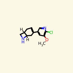 COc1cc(C2=CC[C@H]3CN[C@H]3C2)cnc1Cl